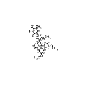 COc1ccc(C(OC[C@H]2O[C@@H](n3cc(C)c(=O)[nH]c3=O)CC2OC)(c2ccccc2)c2ccc(OC)cc2)cc1